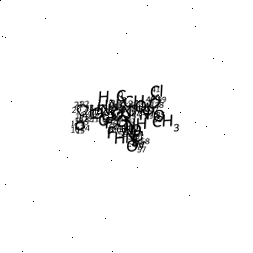 C=C(C)[C@H](NC(=S)NC(=O)OCC1c2ccccc2C2C=CC=CC21)C(=O)N1C[C@H](Oc2ncc(OC)c3ccc(Cl)cc23)CC1C(=O)N[C@]1(C(=O)NS(=O)(=O)C2CC2)C[C@H]1CC(F)F